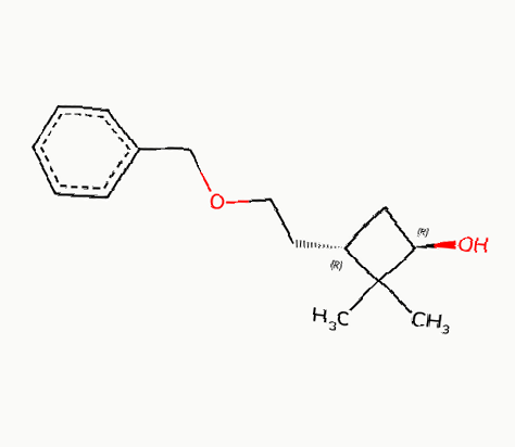 CC1(C)[C@H](CCOCc2ccccc2)C[C@H]1O